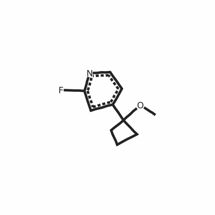 COC1(c2ccnc(F)c2)CCC1